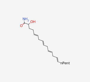 CCCCCC=CCC=CCC=CCC=CCCC(O)C(N)=O